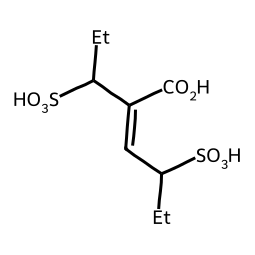 CCC(/C=C(\C(=O)O)C(CC)S(=O)(=O)O)S(=O)(=O)O